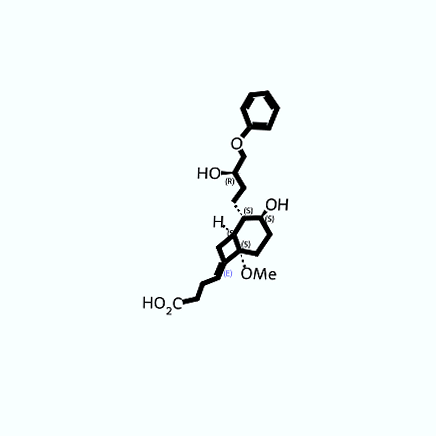 CO[C@@]12CC[C@H](O)[C@@H](CC[C@@H](O)COc3ccccc3)[C@@H]1C/C2=C\CCC(=O)O